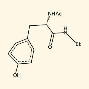 CCNC(=O)[C@H](Cc1ccc(O)cc1)NC(C)=O